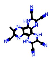 Cc1nc2c3c(c4c(c2nc1C#N)NC(C#N)C(C#N)N4)N=C(C#N)C(C#N)N3